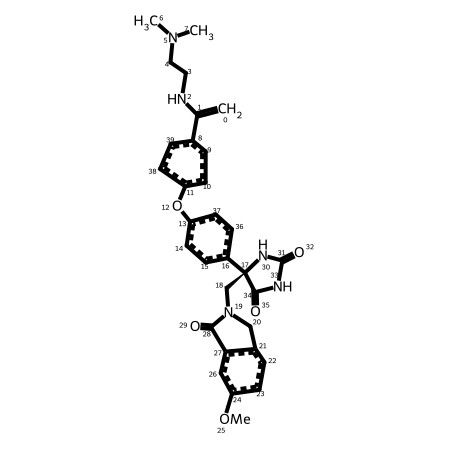 C=C(NCCN(C)C)c1ccc(Oc2ccc([C@]3(CN4Cc5ccc(OC)cc5C4=O)NC(=O)NC3=O)cc2)cc1